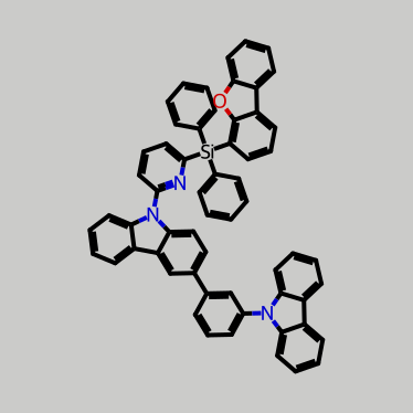 c1ccc([Si](c2ccccc2)(c2cccc(-n3c4ccccc4c4cc(-c5cccc(-n6c7ccccc7c7ccccc76)c5)ccc43)n2)c2cccc3c2oc2ccccc23)cc1